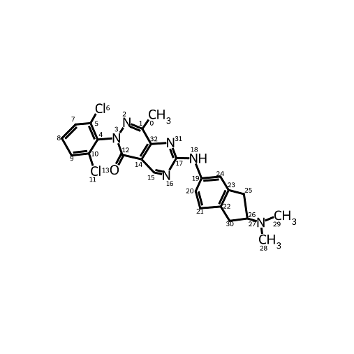 Cc1nn(-c2c(Cl)cccc2Cl)c(=O)c2cnc(Nc3ccc4c(c3)CC(N(C)C)C4)nc12